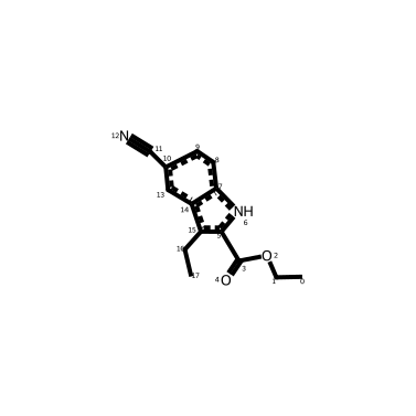 CCOC(=O)c1[nH]c2ccc(C#N)cc2c1CC